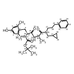 Cc1cc(O)cc(C)c1C[C@H](NC(=O)OC(C)(C)C)C(=O)N[C@H](C)C(=O)N(CCCc1ccccc1)CC1CC1